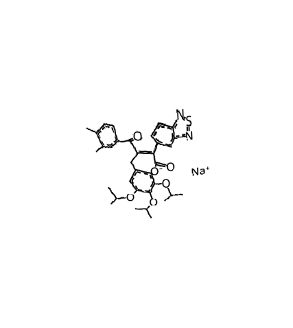 Cc1ccc(C(=O)C(Cc2cc(OC(C)C)c(OC(C)C)c(OC(C)C)c2)=C(C(=O)[O-])c2ccc3nsnc3c2)cc1C.[Na+]